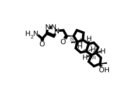 C[C@@]1(O)CC[C@H]2[C@H](CC[C@@H]3[C@@H]2CC[C@]2(C)[C@@H](C(=O)Cn4cc(C(N)=O)nn4)CC[C@@H]32)C1